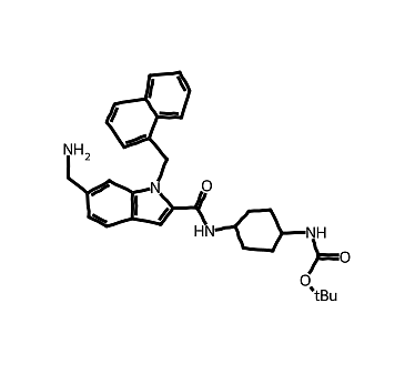 CC(C)(C)OC(=O)NC1CCC(NC(=O)c2cc3ccc(CN)cc3n2Cc2cccc3ccccc23)CC1